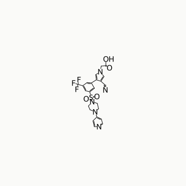 N#Cc1cn(CC(=O)O)cc1-c1cc(C(F)(F)F)cc(S(=O)(=O)N2CCN(c3ccncc3)CC2)c1